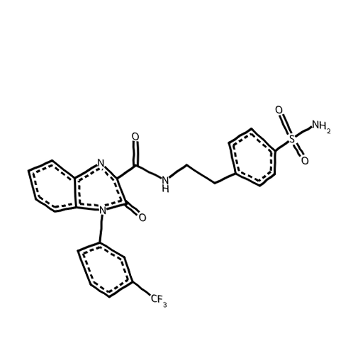 NS(=O)(=O)c1ccc(CCNC(=O)c2nc3ccccc3n(-c3cccc(C(F)(F)F)c3)c2=O)cc1